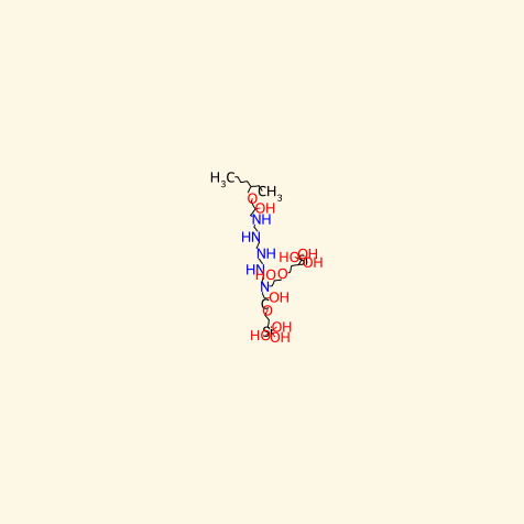 CCCCC(CC)COCC(O)CNCCNCCNCCNCCN(CC(O)COCCC[Si](O)(O)O)CC(O)COCCC[Si](O)(O)O